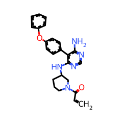 C=CC(=O)N1CCCC(Nc2ncnc(N)c2-c2ccc(Oc3ccccc3)cc2)C1